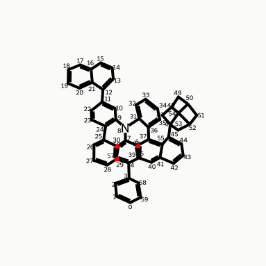 c1ccc(-c2ccc(N(c3cc(-c4cccc5ccccc45)ccc3-c3ccccc3)c3ccccc3-c3cccc4cccc(C56CC7CC8CC(C5)C876)c34)cc2)cc1